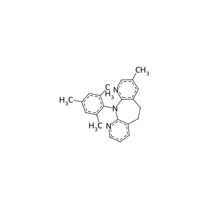 Cc1cc(C)c(N2c3ncccc3CCc3cc(C)cnc32)c(C)c1